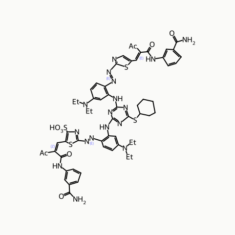 CCN(CC)c1ccc(/N=N/c2ncc(/C=C(\C(C)=O)C(=O)Nc3cccc(C(N)=O)c3)s2)c(Nc2nc(Nc3cc(N(CC)CC)ccc3/N=N/c3nc(S(=O)(=O)O)c(/C=C(/C(C)=O)C(=O)Nc4cccc(C(N)=O)c4)s3)nc(SC3CCCCC3)n2)c1